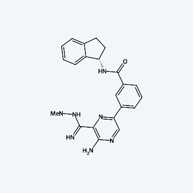 CNNC(=N)c1nc(-c2cccc(C(=O)N[C@H]3CCc4ccccc43)c2)cnc1N